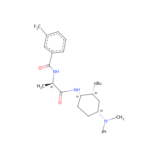 CCCC[C@@H]1C[C@H](N(C)C(C)C)CC[C@@H]1NC(=O)[C@@H](C)NC(=O)c1cccc(C(F)(F)F)c1